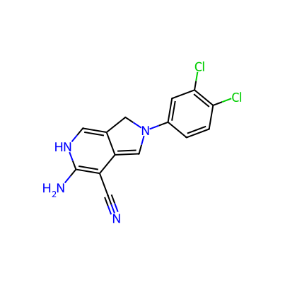 N#CC1=C(N)NC=C2CN(c3ccc(Cl)c(Cl)c3)C=C21